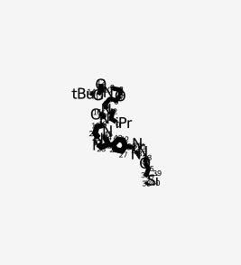 CC(C)C1CN(CC2COCCN2C(=O)OC(C)(C)C)C(=O)N1c1ccn2ncc(-c3ccc(-c4ncn(COCC[Si](C)(C)C)n4)cc3)c2n1